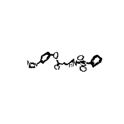 O=S(=O)(NCCCC(Cl)Oc1ccc(-n2ccnc2)cc1)c1ccccc1